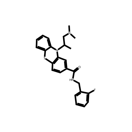 CC(CN(C)C)N1c2ccccc2Sc2ccc(C(=O)NCc3ccccc3F)cc21